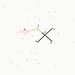 BSC(C)(C)C